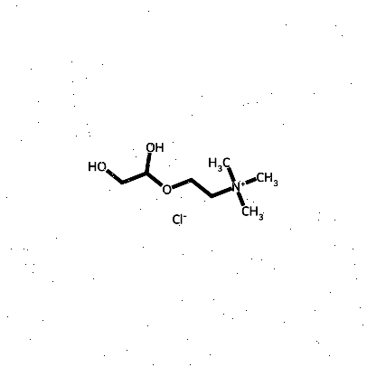 C[N+](C)(C)CCOC(O)CO.[Cl-]